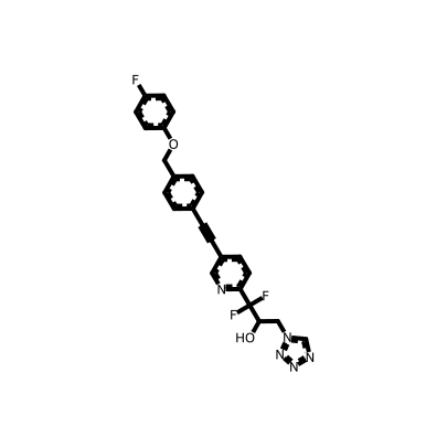 OC(Cn1cnnn1)C(F)(F)c1ccc(C#Cc2ccc(COc3ccc(F)cc3)cc2)cn1